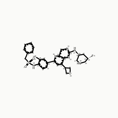 O=S(=O)(Cc1ccccc1)Nc1ccc(-c2cc(C3COC3)c3nc(N[C@@H]4CNC[C@@H](F)C4)ncc3n2)cc1F